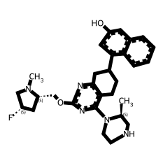 C[C@H]1CNCCN1c1nc(OC[C@@H]2C[C@H](F)CN2C)nc2c1CCC(c1cc(O)cc3ccccc13)C2